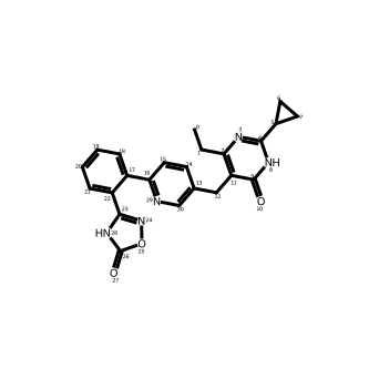 CCc1nc(C2CC2)[nH]c(=O)c1Cc1ccc(-c2ccccc2-c2noc(=O)[nH]2)nc1